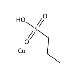 CCCS(=O)(=O)O.[Cu]